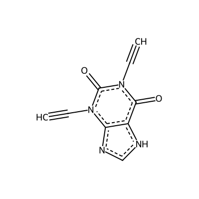 C#Cn1c(=O)c2[nH]cnc2n(C#C)c1=O